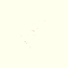 CC(=O)CCC(C)CC(=O)NC(CCC(C)=O)CC(C)O